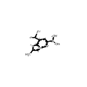 Cc1cn2nc(B(O)O)cc(C(F)F)c2n1